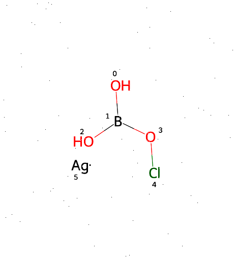 OB(O)OCl.[Ag]